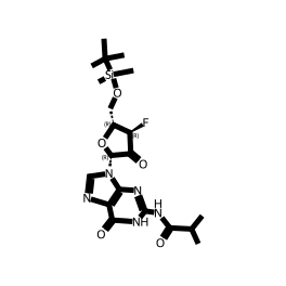 CC(C)C(=O)Nc1nc2c(ncn2[C@@H]2O[C@H](CO[Si](C)(C)C(C)(C)C)[C@@H](F)C2=O)c(=O)[nH]1